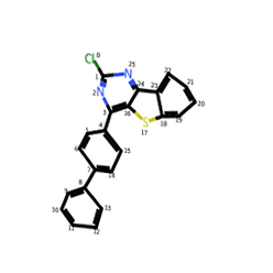 Clc1nc(-c2ccc(-c3ccccc3)cc2)c2sc3ccccc3c2n1